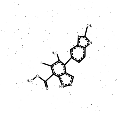 COC(=O)c1c(F)c(C)c(-c2ccc3nc(C)sc3c2)c2cn[nH]c12